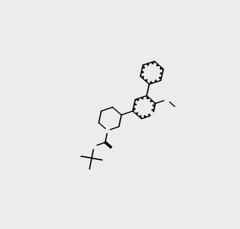 COc1ncc(C2CCCN(C(=O)OC(C)(C)C)C2)cc1-c1ccccc1